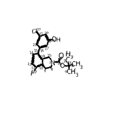 CC(C)(C)OC(=O)N1CCc2c(F)ccc(-c3cc(O)cc(Cl)c3)c2C1